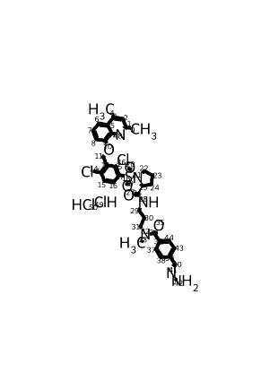 Cc1cc(C)c2cccc(OCc3c(Cl)ccc(S(=O)(=O)N4CCC[C@H]4C(=O)NCCCN(C)C(=O)c4ccc(C=NN)cc4)c3Cl)c2n1.Cl.Cl